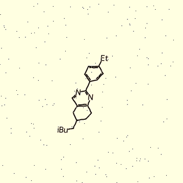 CCc1ccc(-c2ncc3c(n2)CCC(CC(C)CC)C3)cc1